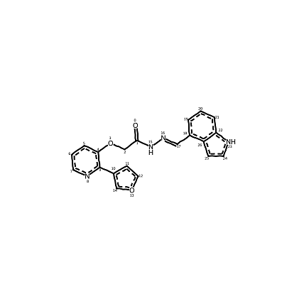 O=C(COc1cccnc1-c1ccoc1)N/N=C/c1cccc2[nH]ccc12